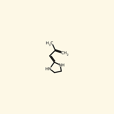 C=C(C)C=C1NCCN1